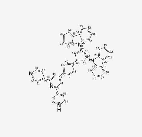 C1=CC(c2cc(-c3ccc(-c4cc(-n5c6ccccc6c6ccccc65)cc(-n5c6ccccc6c6ccccc65)c4)cc3)cc(-c3ccncc3)n2)=CCN1